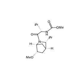 COC(=O)N[C@H](C(=O)N1[C@H](C(C)C)[C@H]2C[C@H](OC)[C@@H]1C2)C(C)C